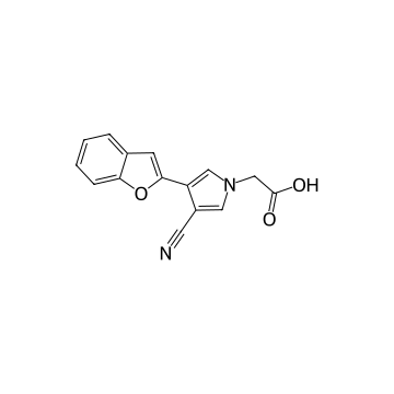 N#Cc1cn(CC(=O)O)cc1-c1cc2ccccc2o1